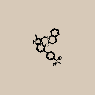 Cc1nc2ccc(-c3ccc(S(C)(=O)=O)cc3)cn2c1CN1C(=O)CCc2ccccc21